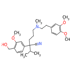 COc1cc(C(C#N)(CCCN(C)CCc2ccc(OC)c(OC)c2)C(C)C)ccc1CO